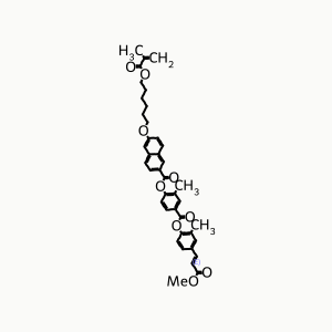 C=C(C)C(=O)OCCCCCCOc1ccc2cc(C(=O)Oc3ccc(C(=O)Oc4ccc(/C=C/C(=O)OC)cc4C)cc3C)ccc2c1